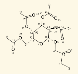 CCC(=O)CO[C@@H]1O[C@H](COC(C)=O)[C@H](OC(C)=O)[C@H](OC(C)=O)[C@H]1NC(C)=O